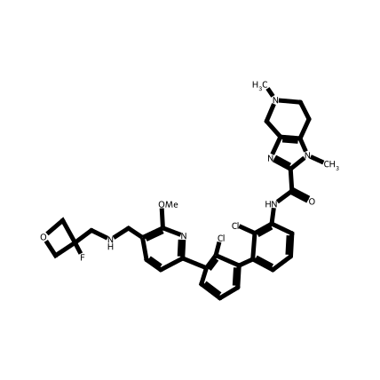 COc1nc(-c2cccc(-c3cccc(NC(=O)c4nc5c(n4C)CCN(C)C5)c3Cl)c2Cl)ccc1CNCC1(F)COC1